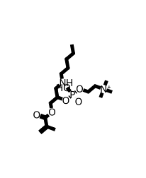 C=C(C)C(=O)OCC(CNCCCCC)OP(=O)(O)OCC[N+](C)(C)C